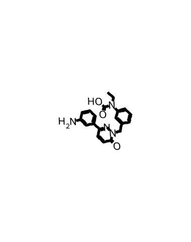 CCN(C(=O)O)c1cccc(Cn2nc(-c3cccc(N)c3)ccc2=O)c1